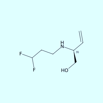 C=C[C@@H](CO)NCCC(F)F